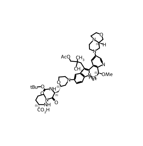 CCn1c(-c2cc(N3CCN4CCOC[C@@H]4C3)cnc2[C@H](C)OC)c(CC(C)(C)COC(C)=O)c2cc(N3CCO[C@@H](C[C@H](NC(=O)OC(C)(C)C)C(=O)N4CCC[C@@H](C(=O)O)N4)C3)ccc21